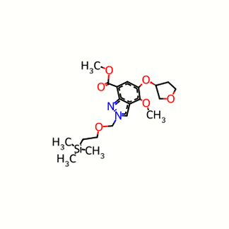 COC(=O)c1cc(O[C@H]2CCOC2)c(OC)c2cn(COCC[Si](C)(C)C)nc12